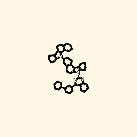 c1ccc(-c2cccc(-c3nc(-n4c5ccccc5c5c6ccc(-n7c8ccccc8c8ccc9ccccc9c87)cc6ccc54)nc4ccccc34)c2)cc1